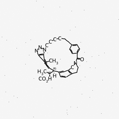 Cc1c2ccc3c1nnn3CCCCCc1ccc(cc1)C(=O)N1CCc3ccc(cc3C1)[C@H]2[C@H](C)C(=O)O